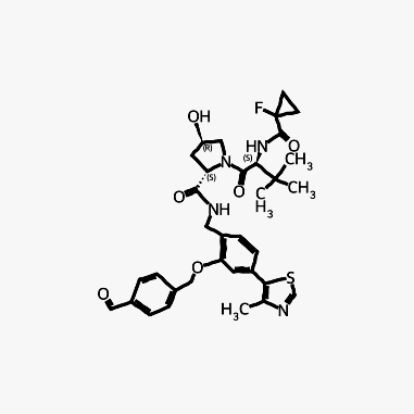 Cc1ncsc1-c1ccc(CNC(=O)[C@@H]2C[C@@H](O)CN2C(=O)[C@@H](NC(=O)C2(F)CC2)C(C)(C)C)c(OCc2ccc(C=O)cc2)c1